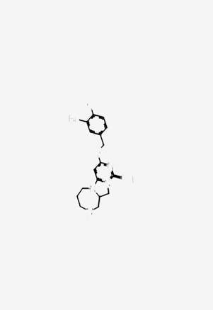 P=c1nc(OCc2ccc(Cl)c(Br)c2)cc2n1CC1CNCCCN21